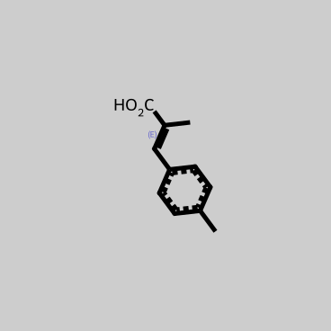 C/C(=C\c1ccc(C)cc1)C(=O)O